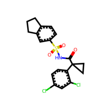 O=C(NS(=O)(=O)c1ccc2c(c1)CCC2)C1(c2ccc(Cl)cc2Cl)CC1